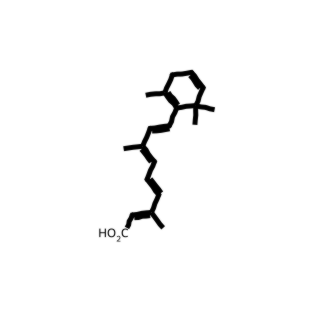 CC(C=CC1=C(C)CC=CC1(C)C)=CC=CC(C)=CC(=O)O